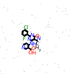 Cc1noc2nc(-c3cc(Cl)ccc3F)nc(Nc3ccncc3C(=O)O)c12